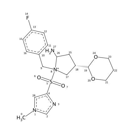 Cn1cnc(S(=O)(=O)[N+]2(Cc3ccc(F)cc3)C[C@@H](C3OCCCO3)CC2N)c1